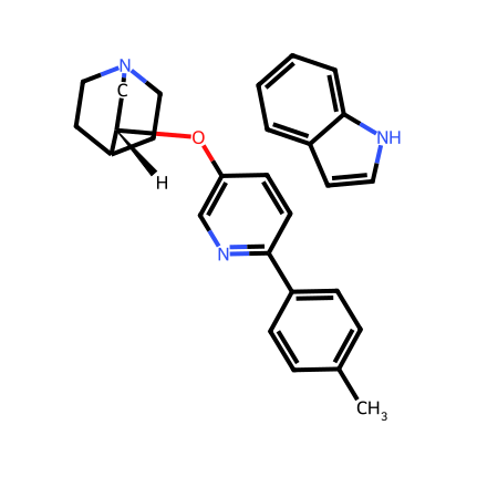 Cc1ccc(-c2ccc(O[C@H]3CN4CCC3CC4)cn2)cc1.c1ccc2[nH]ccc2c1